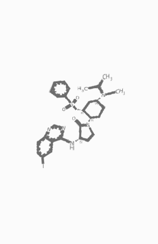 CC(C)N(C)[C@@H]1CC[C@H](N2CC[C@H](Nc3ncnc4ccc(I)cc34)C2=O)[C@H](CS(=O)(=O)c2ccccc2)C1